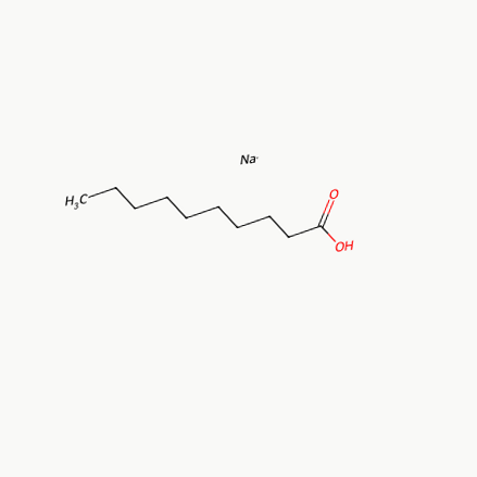 CCCCCCCCCC(=O)O.[Na]